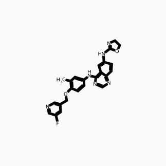 Cc1cc(Nc2ncnc3ccc(NC4=NCCO4)cc23)ccc1OCc1cncc(F)c1